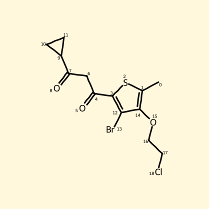 Cc1sc(C(=O)CC(=O)C2CC2)c(Br)c1OCCCl